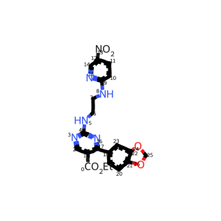 CCOC(=O)c1cnc(NCCNc2ccc([N+](=O)[O-])cn2)nc1-c1ccc2c(c1)OCO2